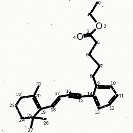 CCOC(=O)CCCCc1ccccc1C#CC=CC1=C(C)CCCC1(C)C